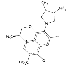 CC1CN(c2c(F)cc3c(=O)c(C(=O)O)cn4c3c2OC[C@@H]4C)CC1N